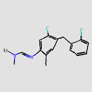 CCN(C)C=Nc1cc(F)c(Cc2ccccc2F)cc1C